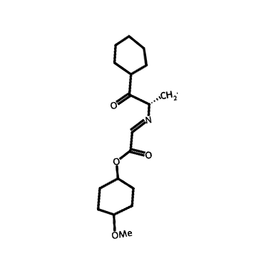 [CH2][C@H](N=CC(=O)OC1CCC(OC)CC1)C(=O)C1CCCCC1